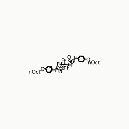 CCCCCCCCOc1ccc([I+]OS(=O)(=O)C(F)(F)C(F)(F)C(F)(F)S(=O)(=O)O[I+]c2ccc(OCCCCCCCC)cc2)cc1